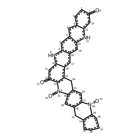 O=c1ccc2cc3cc4[nH]c5cc(=O)c6c(c-5cc4cc3[nH]c-2c1)Cc1cc2c(cc1[N+]6=O)Cc1ccccc1[N+]2=O